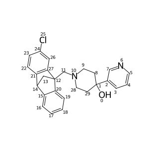 OC1(c2cccnc2)CCN(CC23CC(c4ccccc42)c2ccc(Cl)cc23)CC1